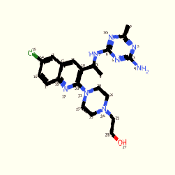 Cc1nc(N)nc(NC(C)c2cc3cc(Cl)ccc3nc2N2CCN(CCO)CC2)n1